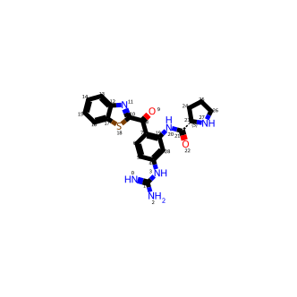 N=C(N)Nc1ccc(C(=O)c2nc3ccccc3s2)c(NC(=O)[C@@H]2CCCN2)c1